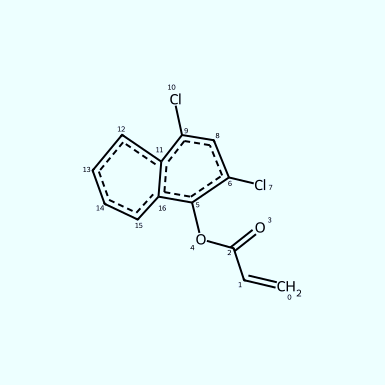 C=CC(=O)Oc1c(Cl)cc(Cl)c2ccccc12